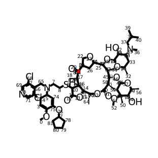 COC1=CCC(N(CCSC2C(=O)O[C@@]3(C)[C@H]2[C@@H](C)C(=O)[C@@H]2CO[C@](C)(C2)[C@H](O[C@@H]2O[C@H](C)C[C@H](N(C)CC(C)C)[C@H]2O)[C@@H](C)[C@H](O[C@H]2C[C@@](C)(OC)[C@@H](O)[C@H](C)O2)[C@@H](C)C(=O)O[C@@H]3I)Cc2c(Cl)cncc2Cl)C=C1OC1CCCC1